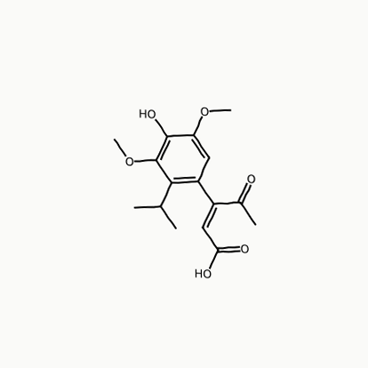 COc1cc(C(=CC(=O)O)C(C)=O)c(C(C)C)c(OC)c1O